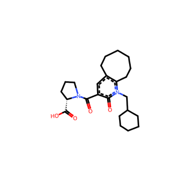 O=C(O)[C@@H]1CCCN1C(=O)c1cc2c(n(CC3CCCCC3)c1=O)CCCCCC2